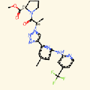 COC(=O)[C@@H]1CCCN1C(=O)[C@@H](C)n1cc(-c2cc(C)cc(Nc3cc(C(F)(F)F)ccn3)n2)nn1